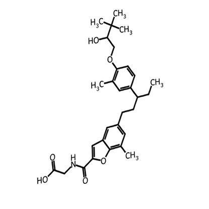 CCC(CCc1cc(C)c2oc(C(=O)NCC(=O)O)cc2c1)c1ccc(OCC(O)C(C)(C)C)c(C)c1